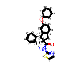 C[C@]1(C(=O)Nc2nccs2)Cc2ccc(Oc3ccccc3)cc2[C@H]1c1ccccc1